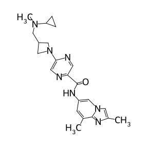 Cc1cn2cc(NC(=O)c3cnc(N4CC(CN(C)C5CC5)C4)cn3)cc(C)c2n1